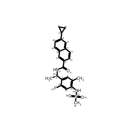 Cc1cc([C@@H](C)NC(=O)c2ccc3cc(C4CC4)ccc3c2)c(F)cc1NS(C)(=O)=O